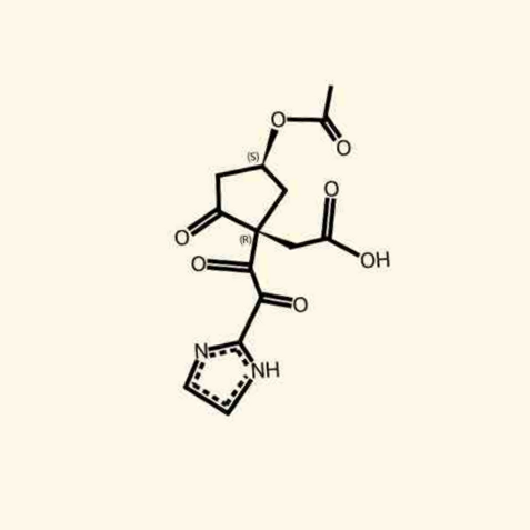 CC(=O)O[C@@H]1CC(=O)[C@@](CC(=O)O)(C(=O)C(=O)c2ncc[nH]2)C1